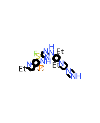 C=P(C)(C)c1c(Nc2nc(Nc3cc(CC)c(N4CCC(N5CCNCC5)CC4)cc3CC)ncc2SF)ccc2nc(CC)ccc12